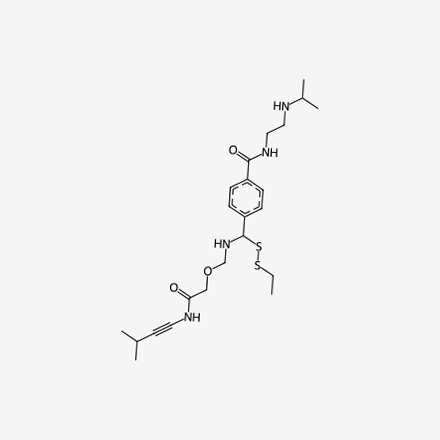 CCSSC(NCOCC(=O)NC#CC(C)C)c1ccc(C(=O)NCCNC(C)C)cc1